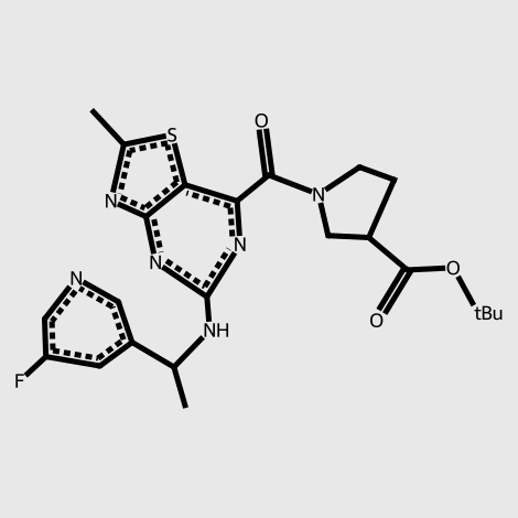 Cc1nc2nc(NC(C)c3cncc(F)c3)nc(C(=O)N3CCC(C(=O)OC(C)(C)C)C3)c2s1